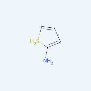 NC1=CC=C[SH2]1